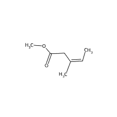 CC=C(C)CC(=O)OC